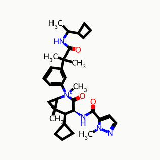 CC(NC(=O)C(C)(C)c1cccc([N+]2(C)C(=O)[C@@H](NC(=O)c3ccnn3C)C(C3CCC3)C3(C)CC32)c1)C1CCC1